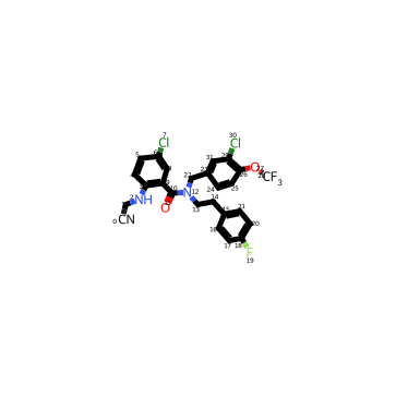 N#CCNc1ccc(Cl)cc1C(=O)N(CCc1ccc(F)cc1)Cc1ccc(OC(F)(F)F)c(Cl)c1